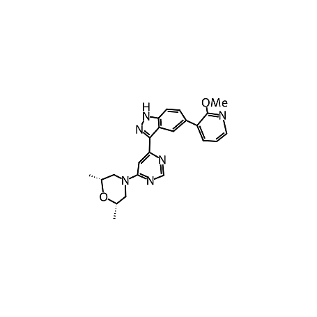 COc1ncccc1-c1ccc2[nH]nc(-c3cc(N4C[C@@H](C)O[C@@H](C)C4)ncn3)c2c1